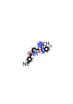 Cn1nnnc1-n1c(OCc2cccc(NC(=O)c3ccc(C#N)cc3)n2)nc2ccccc21